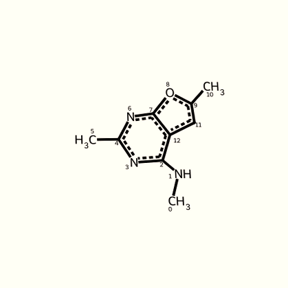 CNc1nc(C)nc2oc(C)cc12